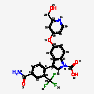 NC(=O)c1ccc(-c2cn(C(=O)O)c3ccc(Oc4ccnc(CO)c4)cc23)c(C(F)(F)F)c1